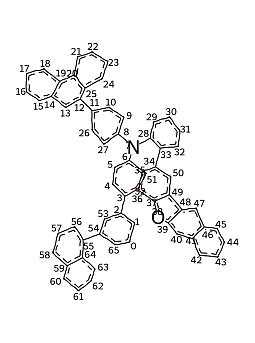 c1cc(-c2ccc(N(c3ccc(-c4cc5ccccc5c5ccccc45)cc3)c3ccccc3-c3ccc4oc5cc6ccccc6cc5c4c3)cc2)cc(-c2cccc3ccccc23)c1